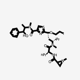 CCC[C@H](NC(=O)C1CN1C)C(=O)N(C)[C@H](C[C@@H](OCCI)c1nc(C(=O)N(C)C(C)C(O)c2ccccc2)cs1)C(C)C